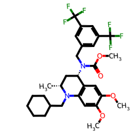 COC(=O)N(Cc1cc(C(F)(F)F)cc(C(F)(F)F)c1)[C@H]1C[C@@H](C)N(CC2CCCCC2)c2cc(OC)c(OC)cc21